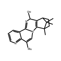 CC(C)(C)C1=CN2C(=NC(O)C3=C2C2(C)CCC3C2(C)C)c2cccnc21